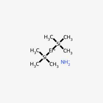 C[Si](C)(C)[Er+][Si](C)(C)C.[NH2-]